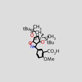 COc1ccc(C2=NOC3C2[C@@H](O[Si](C)(C)C(C)(C)C)C[C@H]3O[Si](C)(C)C(C)(C)C)cc1C(=O)O